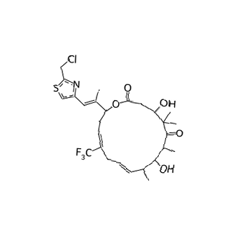 C/C(=C\c1csc(CCl)n1)C1C/C=C(/C(F)(F)F)C/C=C/C(C)C(O)C(C)C(=O)C(C)(C)C(O)CC(=O)O1